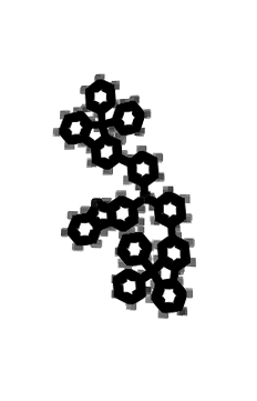 c1ccc(C2(c3ccccc3)c3ccccc3-c3ccc(-c4cccc(N(c5cccc(-c6ccc7c(c6)C(c6ccccc6)(c6ccccc6)c6ccccc6-7)c5)c5ccc6c(c5)oc5ccccc56)c4)cc32)cc1